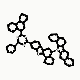 c1ccc(-c2nc(-c3ccc4c(c3)oc3c5ccccc5c(-n5c6cc7ccccc7cc6c6ccc7ccccc7c65)cc43)nc(-c3cc4ccccc4c4ccccc34)n2)cc1